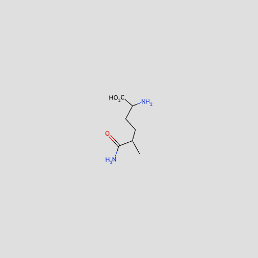 CC(CCC(N)C(=O)O)C(N)=O